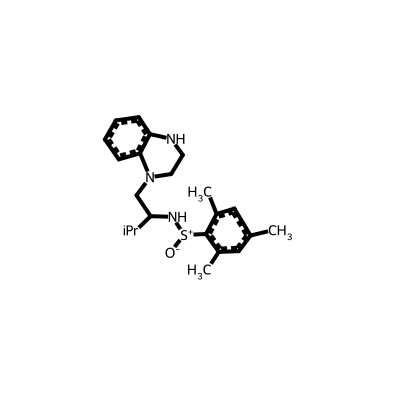 Cc1cc(C)c([S+]([O-])NC(CN2CCNc3ccccc32)C(C)C)c(C)c1